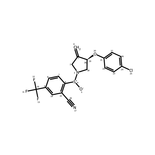 C=C1CN([S+]([O-])c2ccc(C(F)(F)F)cc2C#N)C[C@@H]1Oc1ccc(Cl)cc1